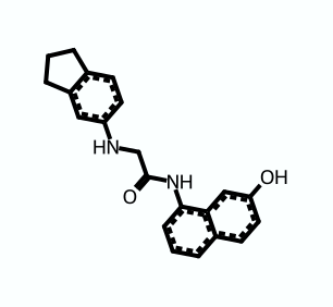 O=C(CNc1ccc2c(c1)CCC2)Nc1cccc2ccc(O)cc12